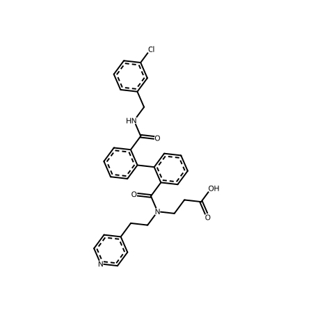 O=C(O)CCN(CCc1ccncc1)C(=O)c1ccccc1-c1ccccc1C(=O)NCc1cccc(Cl)c1